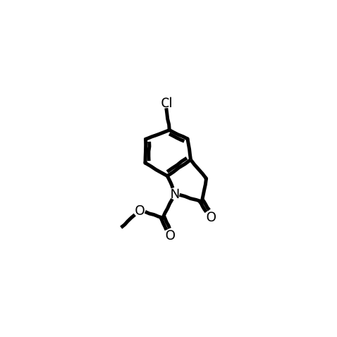 COC(=O)N1C(=O)Cc2cc(Cl)ccc21